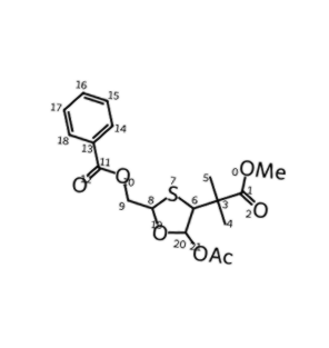 COC(=O)C(C)(C)C1SC(COC(=O)c2ccccc2)OC1OC(C)=O